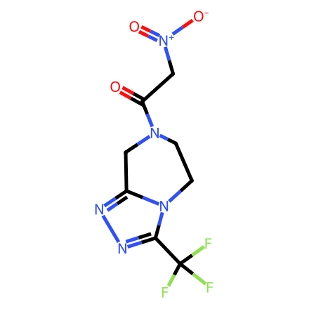 O=C(C[N+](=O)[O-])N1CCn2c(nnc2C(F)(F)F)C1